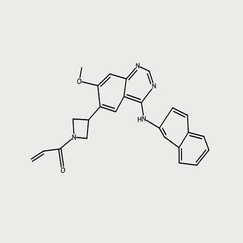 C=CC(=O)N1CC(c2cc3c(Nc4ccc5ccccc5c4)ncnc3cc2OC)C1